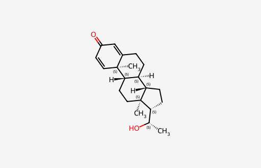 C[C@H](O)[C@H]1CC[C@H]2[C@@H]3CCC4=CC(=O)C=C[C@]4(C)[C@H]3CC[C@]12C